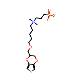 C[N+](C)(CCCCCOCC1COc2cscc2O1)CCCS(=O)(=O)[O-]